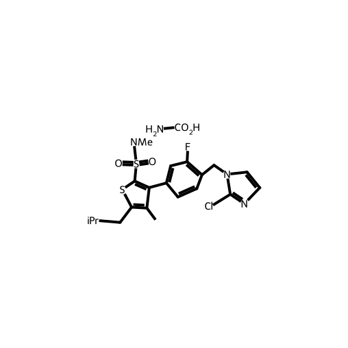 CNS(=O)(=O)c1sc(CC(C)C)c(C)c1-c1ccc(Cn2ccnc2Cl)c(F)c1.NC(=O)O